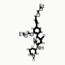 CCOCOCC#Cc1ccc(-c2nnc(N[C@@H]3CCCN(C)C3)cc2C)c(OCOCC)c1